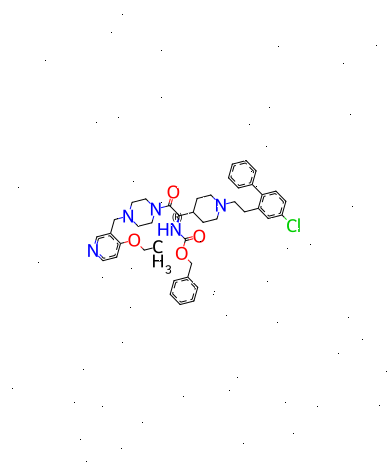 CCOc1ccncc1CN1CCN(C(=O)[C@H](NC(=O)OCc2ccccc2)C2CCN(CCc3cc(Cl)ccc3-c3ccccc3)CC2)CC1